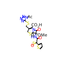 CO[C@@]1(NC(=O)C(=S=O)c2cccs2)C(=O)N2C(C(=O)O)=C(CSc3nnnn3C(C)=O)CS[C@@H]21